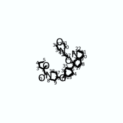 O=C(C1CCCO1)N1CCC(Oc2ccc(-c3ccc4cccnc4c3OCCN3CCOCC3)cc2)CC1